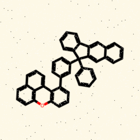 c1ccc(C2(c3cccc(-c4cccc5c4-c4cccc6cccc(c46)O5)c3)c3ccccc3-c3cc4ccccc4cc32)cc1